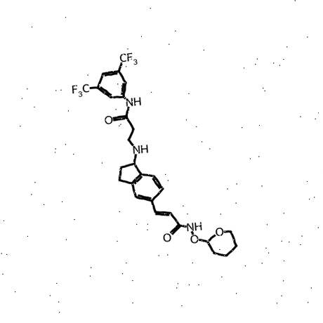 O=C(/C=C/c1ccc2c(c1)CCC2NCCC(=O)Nc1cc(C(F)(F)F)cc(C(F)(F)F)c1)NOC1CCCCO1